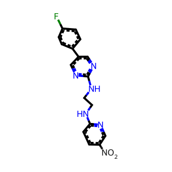 O=[N+]([O-])c1ccc(NCCNc2ncc(-c3ccc(F)cc3)cn2)nc1